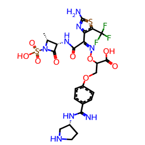 C[C@@H]1[C@H](NC(=O)/C(=N\OC(COc2ccc(C(=N)N[C@@H]3CCNC3)cc2)C(=O)O)c2nc(N)sc2C(F)(F)F)C(=O)N1S(=O)(=O)O